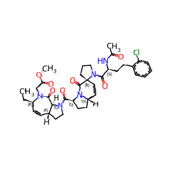 CC[C@@H]1C=C[C@H]2CCN(C(=O)[C@@H]3CC[C@H]4C=C[C@]5(CCCN5C(=O)[C@H](CCc5ccccc5Cl)NC(C)=O)C(=O)N43)[C@@H]2C(=O)N1CC(=O)OC